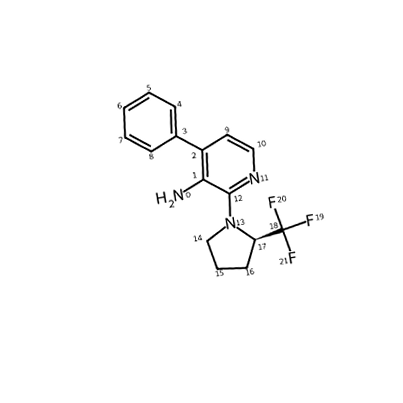 Nc1c(-c2ccccc2)ccnc1N1CCC[C@@H]1C(F)(F)F